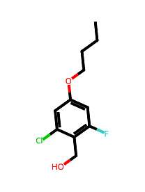 CCCCOc1cc(F)c(CO)c(Cl)c1